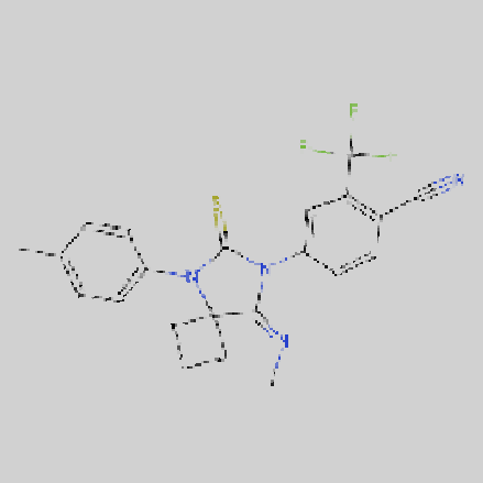 C/N=C1/N(c2ccc(C#N)c(C(F)(F)F)c2)C(=S)N(c2ccc(C)cc2)C12CCC2